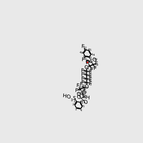 O=S(=O)(O)c1ccccc1S(=O)(=O)NS(=O)(=O)C(F)(F)C(F)(F)OC(F)(F)C(F)(F)C(F)(F)C(F)(F)OC(F)(F)C(F)(F)S(=O)(=O)c1ccc(F)cc1F